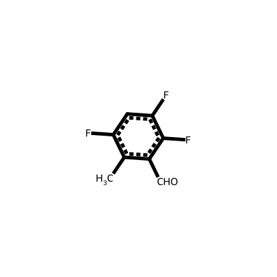 Cc1c(F)cc(F)c(F)c1C=O